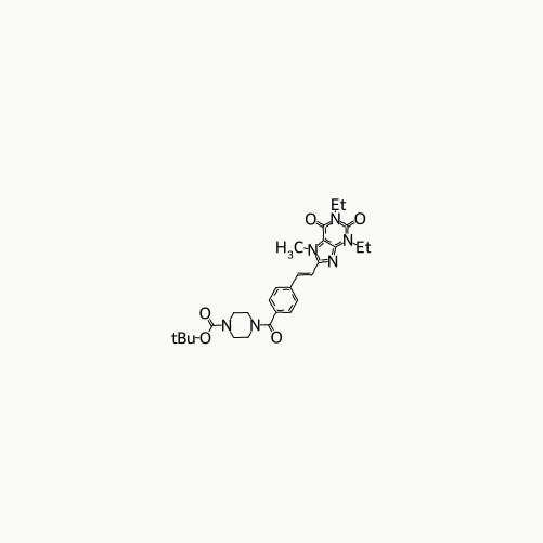 CCn1c(=O)c2c(nc(C=Cc3ccc(C(=O)N4CCN(C(=O)OC(C)(C)C)CC4)cc3)n2C)n(CC)c1=O